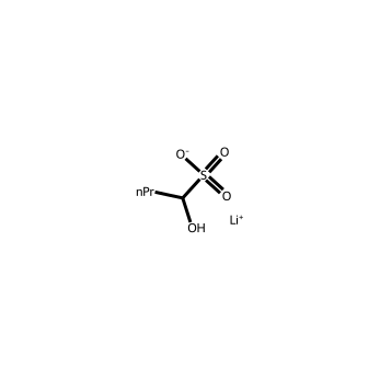 CCCC(O)S(=O)(=O)[O-].[Li+]